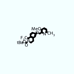 COc1ccc(C)nc1COc1ccc2c(c1)CCN(C(=O)OC(C)(C)C)C2C(F)(F)F